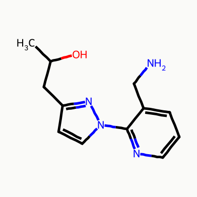 CC(O)Cc1ccn(-c2ncccc2CN)n1